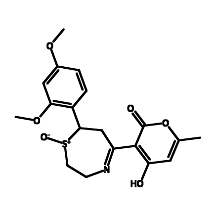 COc1ccc(C2CC(c3c(O)cc(C)oc3=O)=NCC[S+]2[O-])c(OC)c1